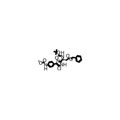 COC(=O)Nc1ccc(-c2nc([C@H](CC(=O)OCc3ccccc3)NC(=O)OC(C)(C)C)[nH]c2Cl)cc1